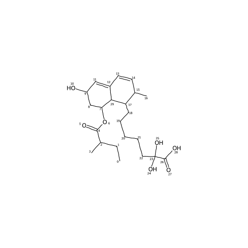 CCC(C)C(=O)OC1CC(O)C=C2C=CC(C)C(CCCCCC(O)(O)C(=O)O)C21